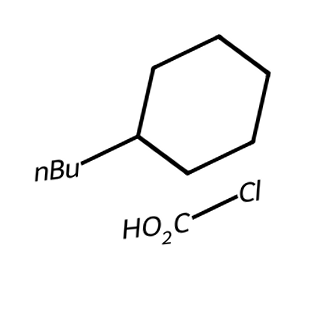 CCCCC1CCCCC1.O=C(O)Cl